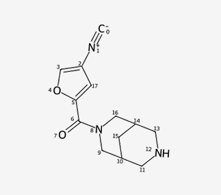 [C-]#[N+]c1coc(C(=O)N2CC3CNCC(C3)C2)c1